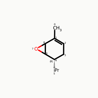 CC1=CC[C@H](C(C)C)C2OC12